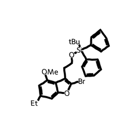 CCc1cc(OC)c2c(CCO[Si](c3ccccc3)(c3ccccc3)C(C)(C)C)c(Br)oc2c1